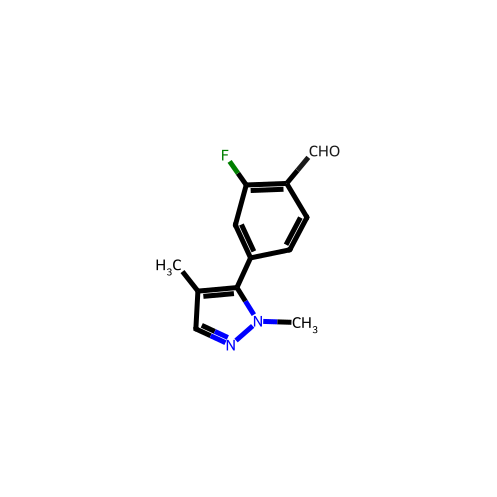 Cc1cnn(C)c1-c1ccc(C=O)c(F)c1